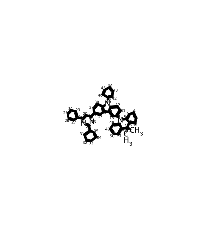 CC1(C)c2ccccc2N(c2ccc3c(c2)c2cc(-c4cc(-c5ccccc5)nc(-c5ccccc5)n4)ccc2n3-c2ccccc2)c2ccccc21